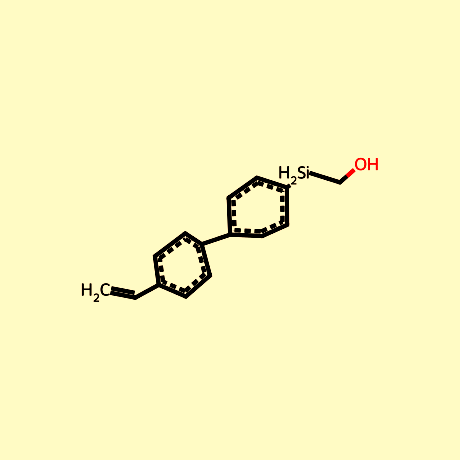 C=Cc1ccc(-c2ccc([SiH2]CO)cc2)cc1